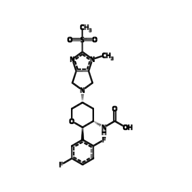 Cn1c(S(C)(=O)=O)nc2c1CN([C@H]1CO[C@H](c3cc(F)ccc3F)[C@@H](NC(=O)O)C1)C2